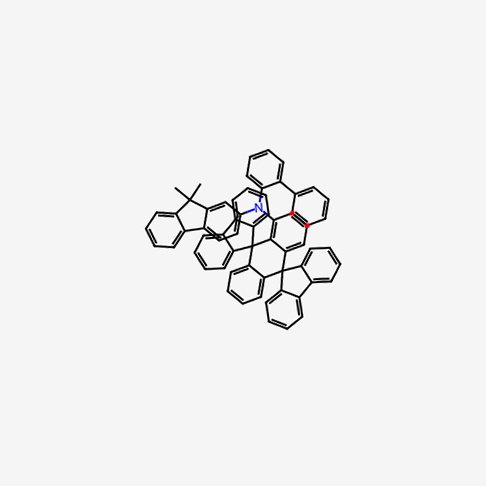 CC1(C)c2ccccc2-c2ccc(N(c3ccccc3-c3ccccc3)c3cccc4c3C3(c5ccccc5-c5ccccc53)c3ccccc3C43c4ccccc4-c4ccccc43)cc21